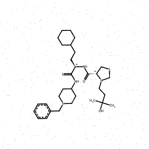 CC(C)(O)CCN1CSC[C@H]1C(=O)N[C@H](CCC1CCCCC1)C(=S)NC1CCN(Cc2ccccc2)CC1